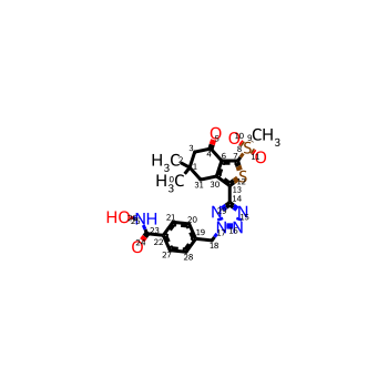 CC1(C)CC(=O)c2c(S(C)(=O)=O)sc(-c3nnn(Cc4ccc(C(=O)NO)cc4)n3)c2C1